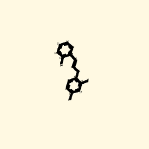 Cc1ccc(CC=Cc2ccccc2C)c(C)c1